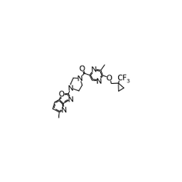 Cc1ccc2oc(N3CCN(C(=O)c4cnc(OCC5(C(F)(F)F)CC5)c(C)n4)CC3)nc2n1